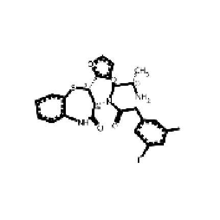 C[C@H](N)C(=O)N(C(=O)Cc1cc(F)cc(F)c1)[C@@H]1C(=O)Nc2ccccc2S[C@@H]1c1ccco1